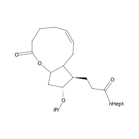 CCCCCCCC(=O)CC[C@@H]1C2C/C=C\CCCC(=O)OC2C[C@H]1OC(C)C